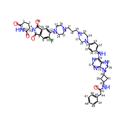 O=C1CC[C@H](N2C(=O)c3cc(F)c(N4CCN(CCCN5CCN(c6ccc(Nc7ncnc8c7ncn8C7CC(NC(=O)Cc8ccccc8)C7)cc6)CC5)CC4)cc3C2=O)C(=O)N1